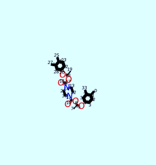 Cc1ccc(O[C@@H](C)OC(=O)N2CCN(C(=O)O[C@H](C)Oc3ccc(C)c(C)c3)CC2)cc1C